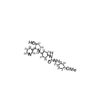 COc1ccc(CNC(=O)Nc2ccc(CN3CCC(O)C3c3cccnc3)cc2)cc1